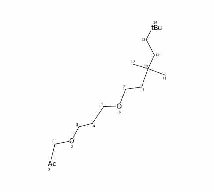 CC(=O)COCCCOCCC(C)(C)CCC(C)(C)C